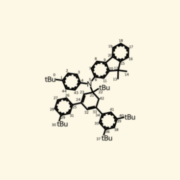 CC(C)(C)c1ccc(N(c2ccc3c(c2)C(C)(C)c2ccccc2-3)C2(C(C)(C)C)C=C(c3cccc(C(C)(C)C)c3)C=C(c3cc(C(C)(C)C)cc(C(C)(C)C)c3)C2)cc1